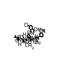 C=C[C@@H]1C[C@]1(NC(=O)[C@@H]1C[C@@H](Oc2ncc(OC)c3ccc(Cl)cc23)CN1C(=O)[C@@H](Nc1nc(-c2cccc(C#N)c2)cs1)C(C)(C)C)C(=O)NS(=O)(=O)C1CC1